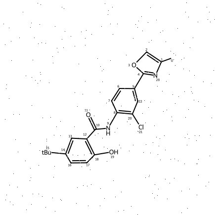 Cc1coc(-c2ccc(NC(=O)c3cc(C(C)(C)C)ccc3O)c(Cl)c2)n1